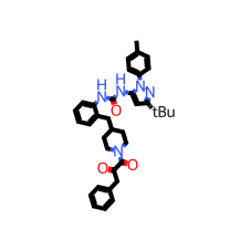 Cc1ccc(-n2nc(C(C)(C)C)cc2NC(=O)Nc2ccccc2CC2CCN(C(=O)C(=O)Cc3ccccc3)CC2)cc1